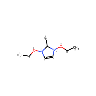 [2H]C1N(OCC)C=CN1OCC